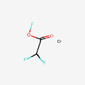 O=C(OF)C(F)F.[Cr]